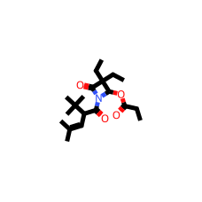 CCC(=O)OC1N(C(=O)C(C=C(C)C)C(C)(C)C)C(=O)C1(CC)CC